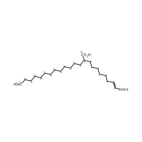 CCCCCCCCC=CCCCCCCC(CCCCCCCCCCCCCCCCCCCCCC)C(=O)O